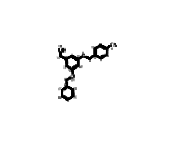 N#Cc1ccc(COc2cc(CO)cc(OCc3ccccc3)c2)cc1